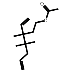 C=CCC(C)(C)C(C)(C=C)CCOC(C)=O